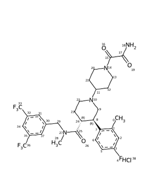 Cc1cc(F)ccc1[C@@H]1CN(C2CCN(C(=O)C(N)=O)CC2)CC[C@H]1C(=O)N(C)Cc1cc(C(F)(F)F)cc(C(F)(F)F)c1.Cl